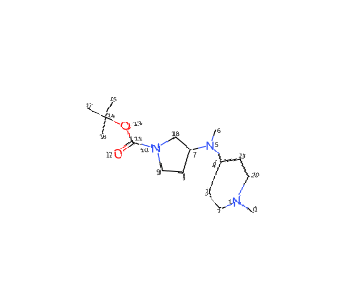 CN1CCC(N(C)C2CCN(C(=O)OC(C)(C)C)C2)CC1